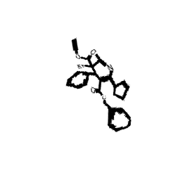 C#COC(=O)C1(CC)C(C)=NC(C2CCCC2)=C(C(=O)OCc2ccccc2)C1c1ccccc1